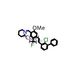 COc1cc(/C=C/c2cccc(-c3ccccc3)c2Cl)c(C(F)(I)I)cc1CN1CCCC[C@H]1C(=O)O